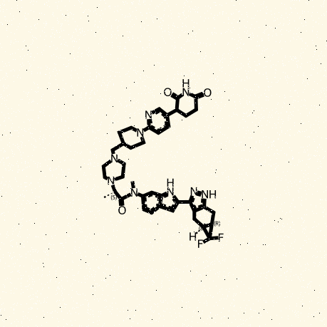 C[C@@H](C(=O)N(C)c1ccc2cc(-c3n[nH]c4c3C[C@@H]3C(F)(F)[C@]3(C)C4)[nH]c2c1)N1CCN(CC2CCN(c3ccc(C4CCC(=O)NC4=O)cn3)CC2)CC1